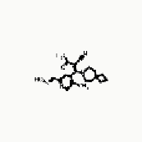 CC(=O)/C(C#N)=C(\c1cc(/C=N/O)ncc1C)N1CCC2(CCC2)CC1